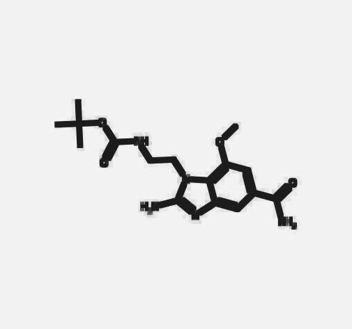 COc1cc(C(N)=O)cc2nc(N)n(CCNC(=O)OC(C)(C)C)c12